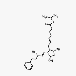 CC(C)OC(=O)CCCC=CC[C@@H]1[C@@H](C=C[C@@H](O)CCc2ccccc2)[C@H](O)C[C@@H]1O